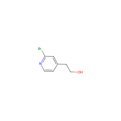 OCCc1ccnc(Br)c1